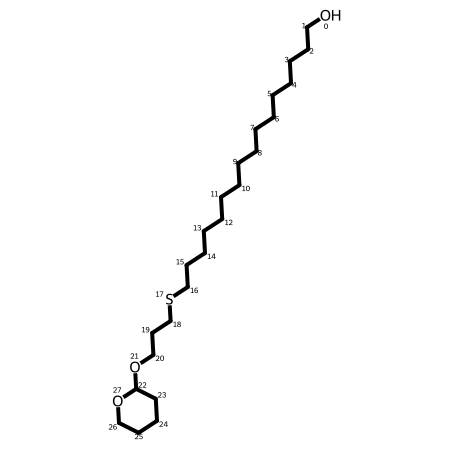 OCCCCCCCCCCCCCCCCSCCCOC1CCCCO1